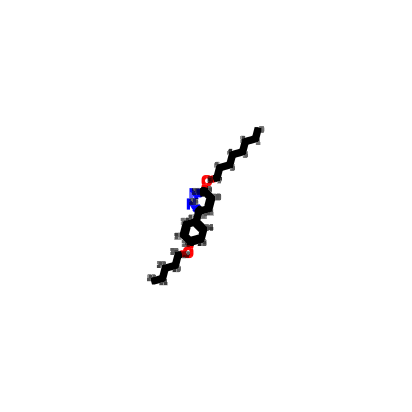 CCCCCCCCOc1ccc(-c2ccc(OCCCCC)cc2)nn1